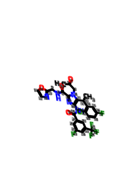 CC(=O)Cn1c(C(=O)NCc2ncco2)nc(NC(=O)c2cc(F)cc(C(F)(F)F)c2)c1[C@@H](C)c1cc(F)ccc1Cl